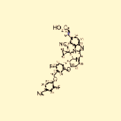 N#CCC1(Cn2c(CN3CCC(Oc4ccc(F)c(COc5ccc(C#N)cc5F)c4)CC3)nc3ccc(/C=C/C(=O)O)cc32)CC1